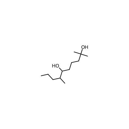 CCCC(C)C(O)CCCC(C)(C)O